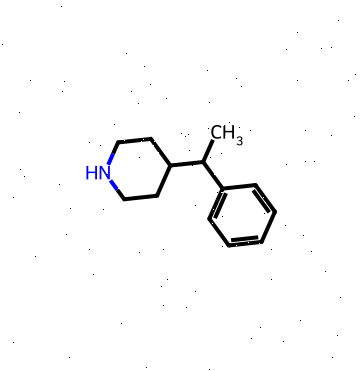 CC(c1ccccc1)C1CCNCC1